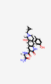 Cc1ccc(O)cc1[C@]12CCN(CC3CC3)[C@H](C)[C@]1(O)Cc1cc(C(=O)N[C@@H](C)C(N)=O)c(=O)[nH]c1C2